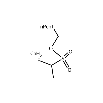 CCCCCCOS(=O)(=O)C(C)F.[CaH2]